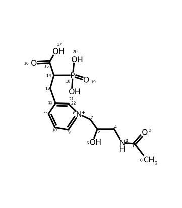 CC(=O)NCC(O)C[n+]1cccc(CC(C(=O)O)P(=O)(O)O)c1